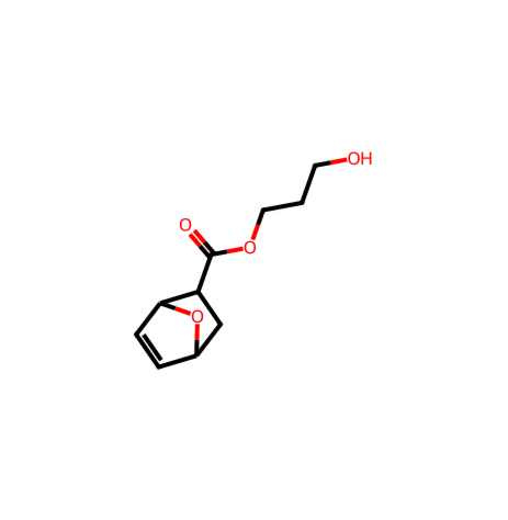 O=C(OCCCO)C1CC2C=CC1O2